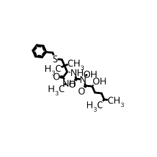 CNC(=O)[C@@H](NC(=O)N(O)C(=O)[C@@H](O)CCC(C)C)C(C)(C)CSCc1ccccc1